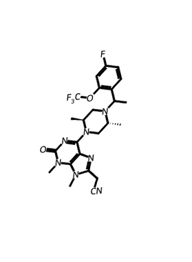 CC(c1ccc(F)cc1OC(F)(F)F)N1C[C@H](C)N(c2nc(=O)n(C)c3c2nc(CC#N)n3C)C[C@H]1C